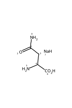 NC(=O)CC(N)C(=O)O.[NaH]